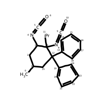 CC1CC(N=C=O)C(N=C=O)(C(C)C)C(c2ccccc2)(c2ccccc2)C1